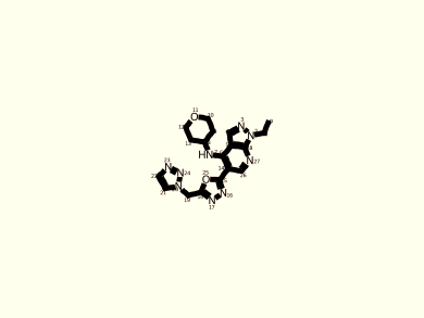 CCn1ncc2c(NC3CCOCC3)c(-c3nnc(Cn4ccnn4)o3)cnc21